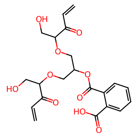 C=CC(=O)C(CO)OCC(COC(CO)C(=O)C=C)OC(=O)c1ccccc1C(=O)O